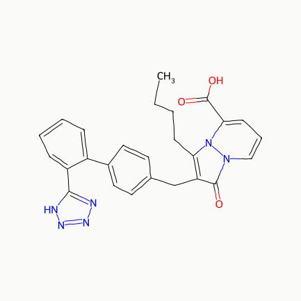 CCCCc1c(Cc2ccc(-c3ccccc3-c3nnn[nH]3)cc2)c(=O)n2cccc(C(=O)O)n12